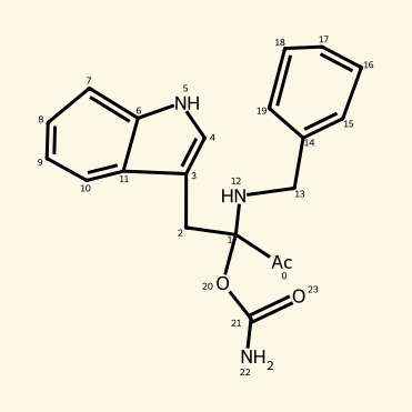 CC(=O)C(Cc1c[nH]c2ccccc12)(NCc1ccccc1)OC(N)=O